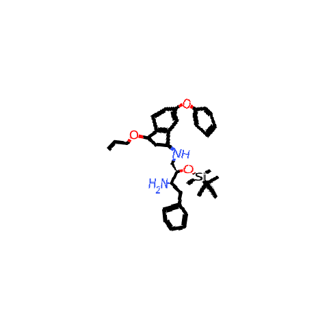 C=CCOC1CC(NC[C@@H](O[Si](C)(C)C(C)(C)C)[C@@H](N)Cc2ccccc2)c2cc(Oc3ccccc3)ccc21